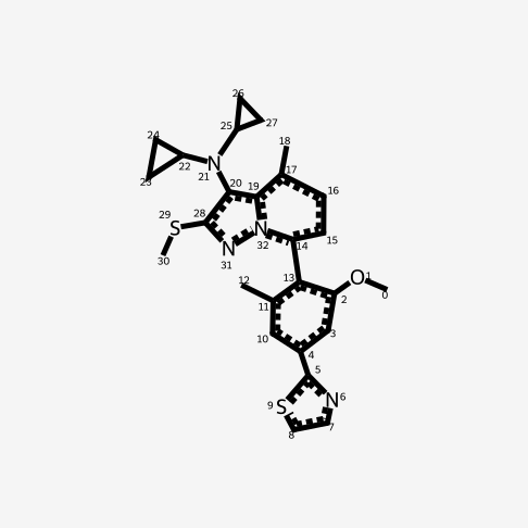 COc1cc(-c2nccs2)cc(C)c1-c1ccc(C)c2c(N(C3CC3)C3CC3)c(SC)nn12